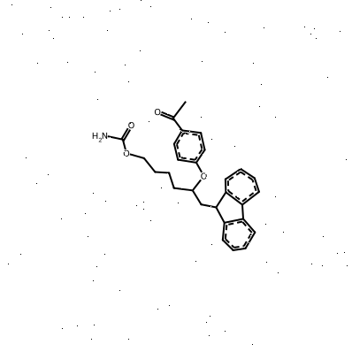 CC(=O)c1ccc(OC(CCCCOC(N)=O)CC2c3ccccc3-c3ccccc32)cc1